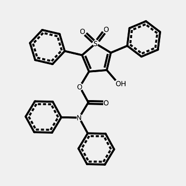 O=C(OC1=C(c2ccccc2)S(=O)(=O)C(c2ccccc2)=C1O)N(c1ccccc1)c1ccccc1